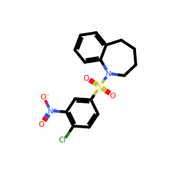 O=[N+]([O-])c1cc(S(=O)(=O)N2CCCCc3ccccc32)ccc1Cl